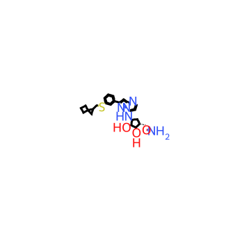 NOC[C@H]1C[C@@H](Nc2ccnc3cc(-c4cccc(SCC5CC56CCC6)c4)nn23)[C@H](O)[C@@H]1O